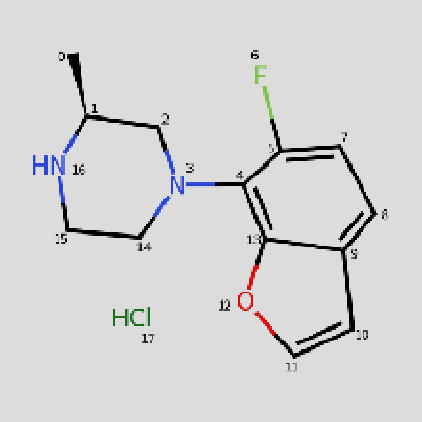 C[C@H]1CN(c2c(F)ccc3ccoc23)CCN1.Cl